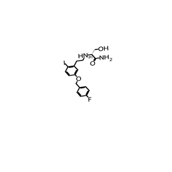 NC(=O)[C@@H](CO)NCCc1cc(OCc2ccc(F)cc2)ccc1I